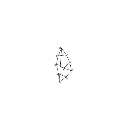 C12C3C4C5C4C4C(C4C13)C25